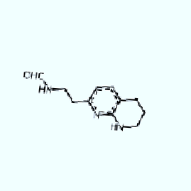 O=CNCCc1ccc2c(n1)NCCC2